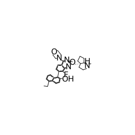 CCc1cccc2c(-c3ccc4c(N5CCOCC5)nc(OC[C@]56CCC[C@H]5N(C)CCC6)nc4c3F)c(O)ccc12